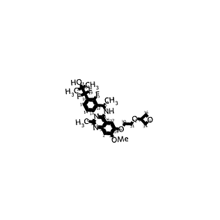 COc1cc2nc(C)nc(N[C@H](C)c3cccc(C(F)(F)C(C)(C)O)c3F)c2cc1OCCOC1COC1